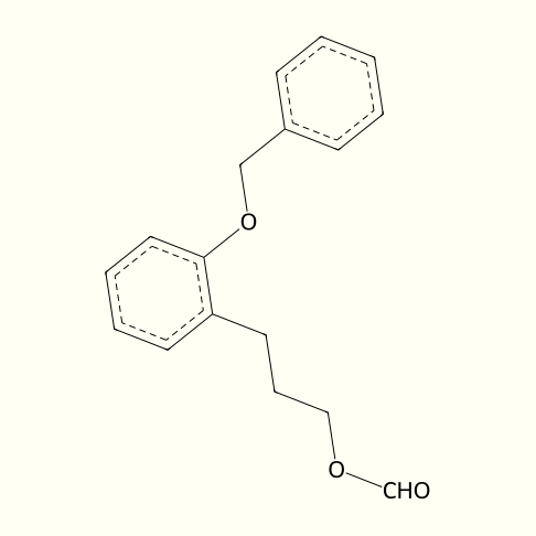 O=COCCCc1ccccc1OCc1ccccc1